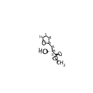 COC(=O)[C@H](O)CC1CCCO1